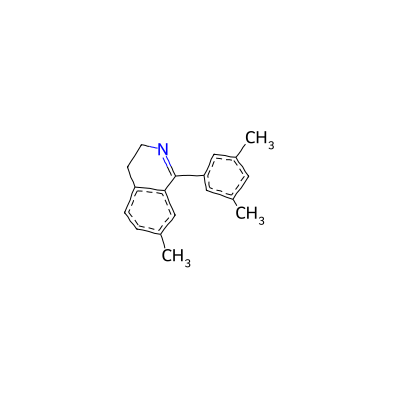 Cc1cc(C)cc(C2=NCCc3ccc(C)cc32)c1